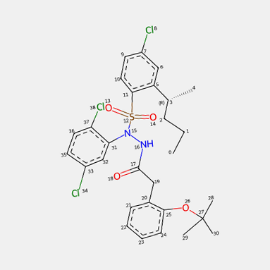 CCC[C@@H](C)c1cc(Cl)ccc1S(=O)(=O)N(NC(=O)Cc1ccccc1OC(C)(C)C)c1cc(Cl)ccc1Cl